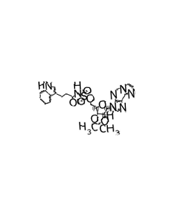 CC1(C)OC2[C@@H](COS(=O)(=O)NC(=O)CCc3c[nH]c4ccccc34)O[C@@H](n3cnc4c3ncn3ccnc43)[C@H]2O1